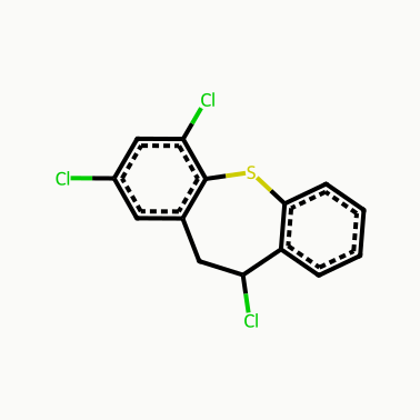 Clc1cc(Cl)c2c(c1)CC(Cl)c1ccccc1S2